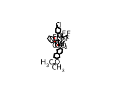 CC(C)Oc1ccc2cc(S(=O)(=O)N(OC(=O)C(F)(F)F)[C@H](C(=O)N3C4CCC3CC(N)C4)C(F)(F)c3ccc(Cl)cc3)ccc2c1